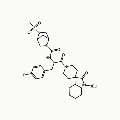 CC(C)(C)NC(=O)C1(C2CCCCC2)CCN(C(=O)C(Cc2ccc(F)cc2)NC(=O)N2CC3CC2CN3S(C)(=O)=O)CC1